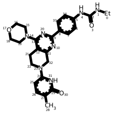 CCNC(=O)Nc1ccc(-c2nc3c(c(N4CCOCC4)n2)CCN(c2ccc(C)c(=O)[nH]2)C3)cc1